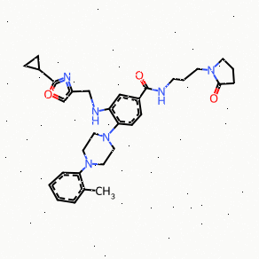 Cc1ccccc1N1CCN(c2ccc(C(=O)NCCCN3CCCC3=O)cc2NCc2coc(C3CC3)n2)CC1